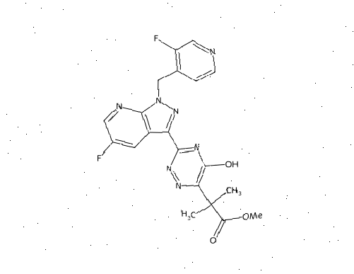 COC(=O)C(C)(C)c1nnc(-c2nn(Cc3ccncc3F)c3ncc(F)cc23)nc1O